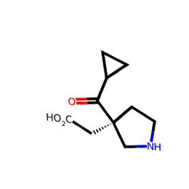 O=C(O)C[C@]1(C(=O)C2CC2)CCNC1